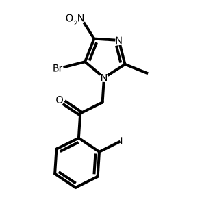 Cc1nc([N+](=O)[O-])c(Br)n1CC(=O)c1ccccc1I